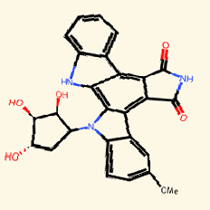 COc1ccc2c(c1)c1c3c(c4c5ccccc5[nH]c4c1n2C1C[C@H](O)[C@@H](O)[C@H]1O)C(=O)NC3=O